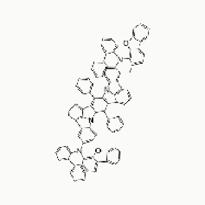 Cc1ccc2c(oc3ccccc32)c1N(c1ccc2c(c1)c1cccc3c4c(-c5ccccc5)c5c(c(-c6ccccc6)c4n2c13)c1cccc2c3cc(N(c4ccccc4-c4ccccc4)c4cccc6c4oc4ccccc46)ccc3n5c21)c1ccccc1-c1ccccc1